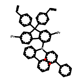 C=Cc1ccc(C2(c3ccc(C=C)cc3)c3cc(C(C)C)ccc3-c3c(N(c4ccc(-c5ccccc5)cc4)c4ccccc4-c4ccccc4)cc(C(C)C)cc32)cc1